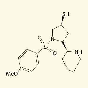 COc1ccc(S(=O)(=O)N2C[C@@H](S)CC2[C@@H]2CCCCN2)cc1